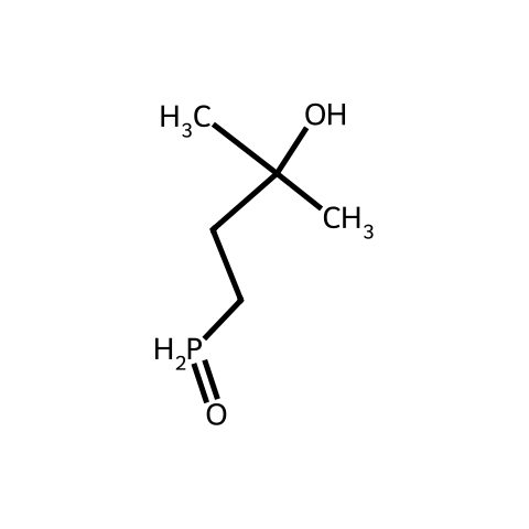 CC(C)(O)CC[PH2]=O